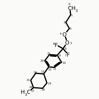 CCCCOOC(F)(F)c1ccc(C2CCC(C)CC2)cc1